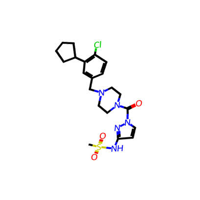 CS(=O)(=O)Nc1ccn(C(=O)N2CCN(Cc3ccc(Cl)c(C4CCCC4)c3)CC2)n1